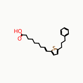 O=C(O)CCCCCCC=Cc1ccc(CCCc2ccccc2)s1